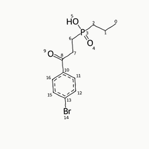 CCCP(=O)(O)CCC(=O)c1ccc(Br)cc1